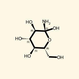 N[C@@]1(O)O[C@H](CO)[C@@H](O)[C@H](O)[C@H]1O